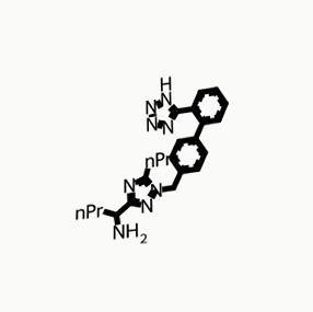 CCCc1nc(C(N)CCC)nn1Cc1ccc(-c2ccccc2-c2nnn[nH]2)cc1